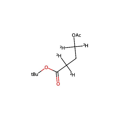 [2H]C([2H])(CC([2H])([2H])C(=O)OC(C)(C)C)OC(C)=O